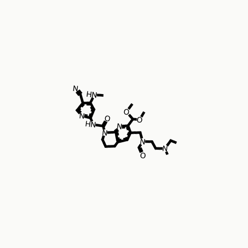 CCN(C)CCN(C=O)Cc1cc2c(nc1C(OC)OC)N(C(=O)Nc1cc(NC)c(C#N)cn1)CCC2